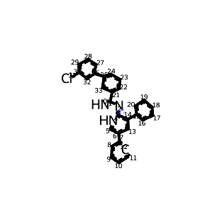 N=C(/N=c1\[nH]cc(-c2ccccc2)cc1-c1ccccc1)c1cccc(-c2cccc(Cl)c2)c1